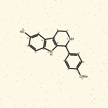 COc1ccc(C2NCCc3c2[nH]c2ccc(C#N)cc32)cc1